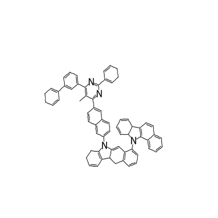 Cc1c(-c2cccc(C3=CCCC=C3)c2)nc(C2=CCCC=C2)nc1-c1ccc2cc(N3C4=Cc5c(cccc5N5c6c(ccc7ccccc67)C6C=CC=CC65)CC4C4=C3CCC=C4)ccc2c1